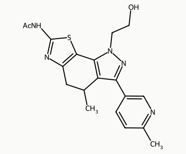 CC(=O)Nc1nc2c(s1)-c1c(c(-c3ccc(C)nc3)nn1CCO)C(C)C2